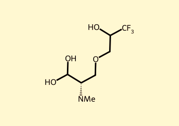 CN[C@@H](COCC(O)C(F)(F)F)C(O)O